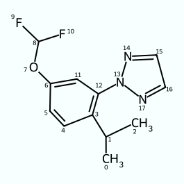 CC(C)c1ccc(OC(F)F)cc1-n1nccn1